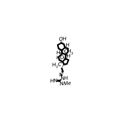 CNC(=N)N/N=C/C[C@H]1CC[C@]2(O)[C@@H]3CC[C@@H]4C[C@@H](O)CC[C@]4(C)[C@H]3CC[C@]12C